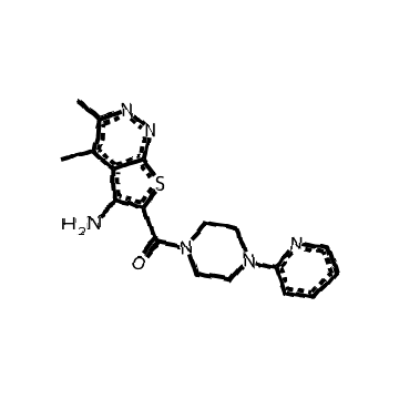 Cc1nnc2sc(C(=O)N3CCN(c4ccccn4)CC3)c(N)c2c1C